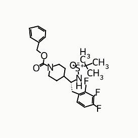 CC(C)(C)[S@+]([O-])N[C@H](Cc1ccc(F)c(F)c1F)C1CCN(C(=O)OCc2ccccc2)CC1